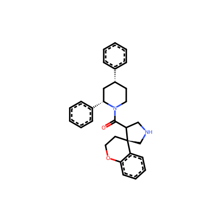 O=C(C1CNC[C@@]12CCOc1ccccc12)N1CC[C@@H](c2ccccc2)C[C@H]1c1ccccc1